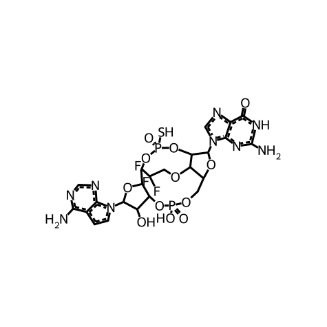 Nc1nc2c(ncn2C2OC3COP(=O)(O)OC4C(COP(=O)(S)OC2C3OCC(F)(F)F)OC(n2ccc3c(N)ncnc32)C4O)c(=O)[nH]1